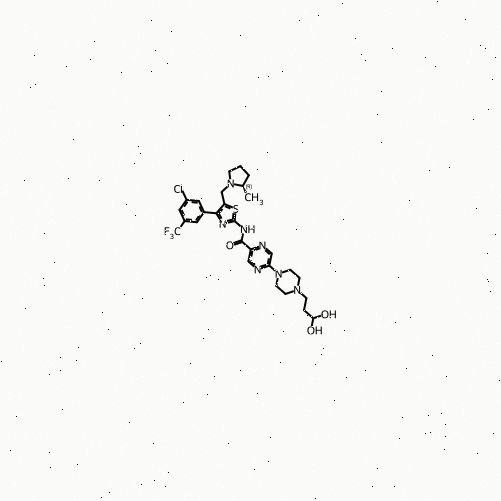 C[C@@H]1CCCN1Cc1sc(NC(=O)c2cnc(N3CCN(CCC(O)O)CC3)cn2)nc1-c1cc(Cl)cc(C(F)(F)F)c1